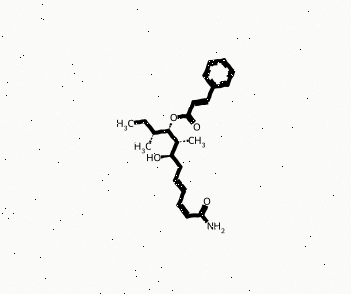 CC[C@@H](C)[C@H](OC(=O)/C=C/c1ccccc1)[C@H](C)[C@H](O)C/C=C/C=C\C(N)=O